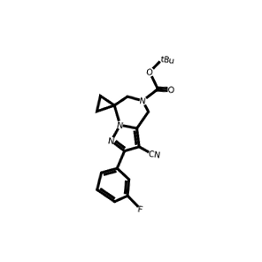 CC(C)(C)OC(=O)N1Cc2c(C#N)c(-c3cccc(F)c3)nn2C2(CC2)C1